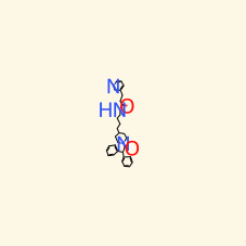 O=C(CCc1cccnc1)NCCCCC1CCN(C(=O)C(c2ccccc2)c2ccccc2)CC1